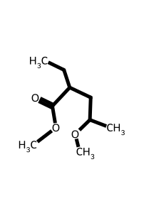 CCC(CC(C)OC)C(=O)OC